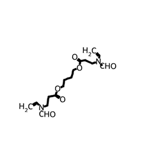 C=CN(C=O)CCC(=O)OCCCCOC(=O)CCN(C=C)C=O